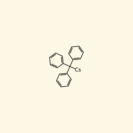 [Cs][C](c1ccccc1)(c1ccccc1)c1ccccc1